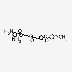 CCCC1CCC(C(=O)Oc2ccc(C=CC(=O)OCCCCOC(=O)c3cc(N)cc(N)c3)cc2)CC1